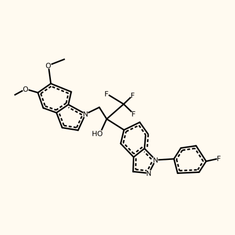 COc1cc2ccn(CC(O)(c3ccc4c(cnn4-c4ccc(F)cc4)c3)C(F)(F)F)c2cc1OC